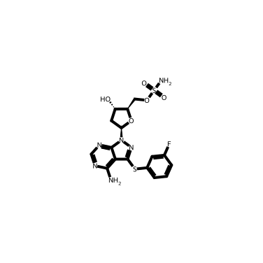 Nc1ncnc2c1c(Sc1cccc(F)c1)nn2[C@H]1C[C@H](O)[C@@H](COS(N)(=O)=O)O1